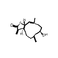 C=C1CC[C@H]2C(=C)C(=O)O[C@@H]2C=C(C)CC[C@H]1O